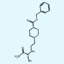 CCC(C)[C@H](NCCN1CCN(C(=O)OCc2ccccc2)CC1)C(N)=O